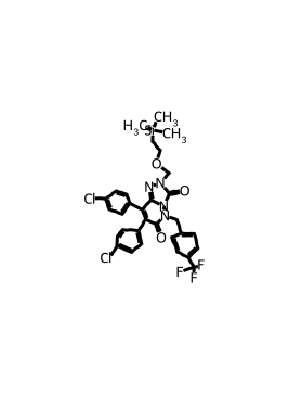 C[Si](C)(C)CCOCn1nc2c(-c3ccc(Cl)cc3)c(-c3ccc(Cl)cc3)c(=O)n(Cc3ccc(C(F)(F)F)cc3)n2c1=O